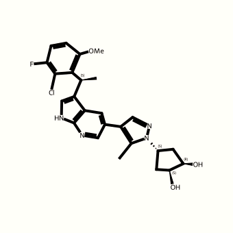 COc1ccc(F)c(Cl)c1[C@@H](C)c1c[nH]c2ncc(-c3cnn([C@@H]4C[C@@H](O)[C@@H](O)C4)c3C)cc12